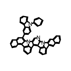 c1ccc(-n2c3ccccc3c3cc(-c4cc5ccccc5c5c6cccc7c8c9c%10cccc%11c%12cc%13ccccc%13cc%12n(c9ncc8n(c45)c76)c%11%10)ccc32)cc1